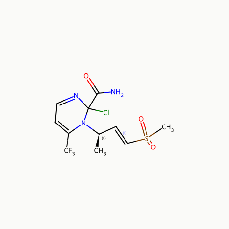 C[C@H](/C=C/S(C)(=O)=O)N1C(C(F)(F)F)=CC=NC1(Cl)C(N)=O